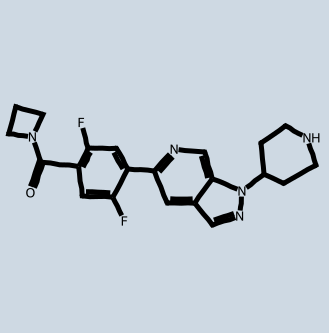 O=C(c1cc(F)c(-c2cc3cnn(C4CCNCC4)c3cn2)cc1F)N1CCC1